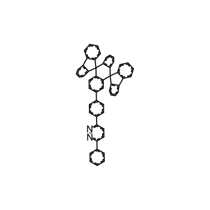 c1ccc(-c2ccc(-c3ccc(-c4ccc5c(c4)C4(c6ccccc6-c6ccccc64)c4ccccc4C54c5ccccc5-c5ccccc54)cc3)nn2)cc1